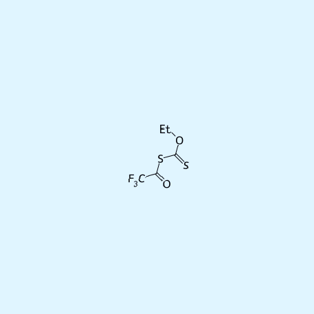 CCOC(=S)SC(=O)C(F)(F)F